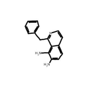 Nc1ccc2ccnc(Cc3ccccc3)c2c1N